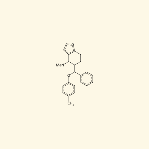 CNC1c2ccsc2CCC1C(Oc1ccc(C)cc1)c1ccccc1